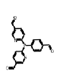 O=Cc1ccc(P(c2ccc(C=O)cn2)c2ccc(C=O)cn2)cc1